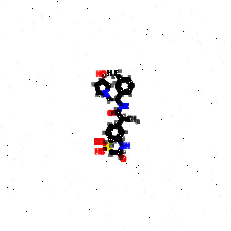 Cc1cccc([C@@H](CN2CC[C@H](O)C2)NC(=O)C(C)c2ccc3c(c2)NC(=O)CS3(O)O)c1